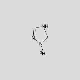 [2H]N1CNC=N1